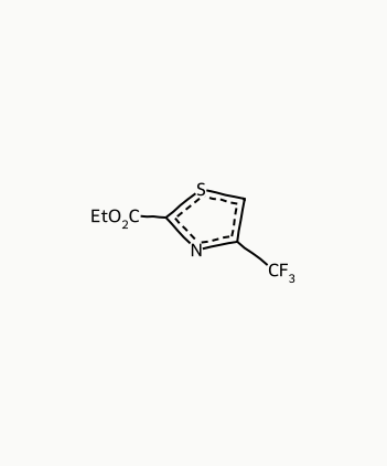 CCOC(=O)c1nc(C(F)(F)F)cs1